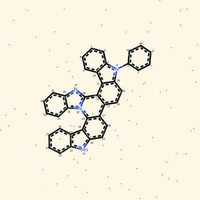 c1ccc(-n2c3ccccc3c3c4c(ccc32)c2ccc3[nH]c5ccccc5c3c2n2c3ccccc3nc42)cc1